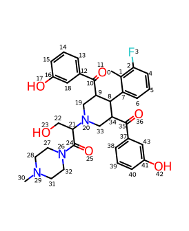 Cc1c(F)cccc1C1C(C(=O)c2cccc(O)c2)CN(C(CO)C(=O)N2CCN(C)CC2)CC1C(=O)c1cccc(O)c1